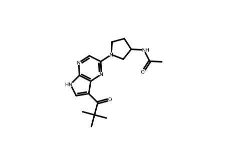 CC(=O)NC1CCN(c2cnc3[nH]cc(C(=O)C(C)(C)C)c3n2)C1